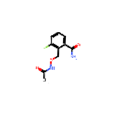 CC(=O)NOCc1c(F)cccc1C(N)=O